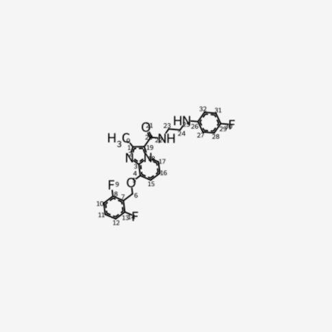 Cc1nc2c(OCc3c(F)cccc3F)cccn2c1C(=O)NCCNc1ccc(F)cc1